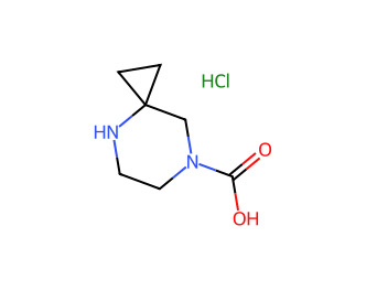 Cl.O=C(O)N1CCNC2(CC2)C1